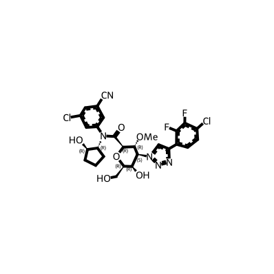 CO[C@@H]1[C@@H](n2cc(-c3ccc(Cl)c(F)c3F)nn2)[C@@H](O)[C@@H](CO)O[C@H]1C(=O)N(c1cc(Cl)cc(C#N)c1)[C@@H]1CCC[C@H]1O